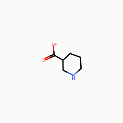 O=C(O)C1[CH]CCNC1